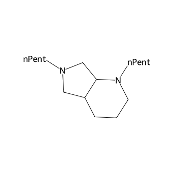 CCCCCN1CC2CCCN(CCCCC)C2C1